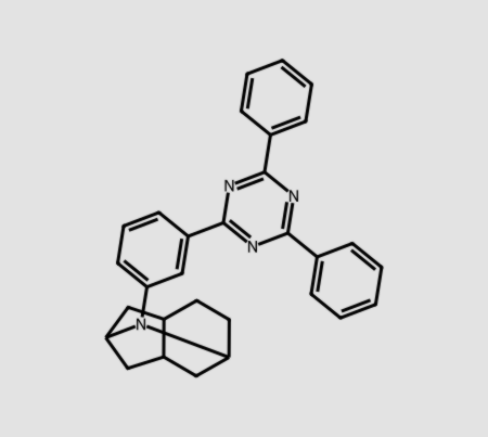 c1ccc(-c2nc(-c3ccccc3)nc(-c3cccc(N4C5CCC6CC4CC6C5)c3)n2)cc1